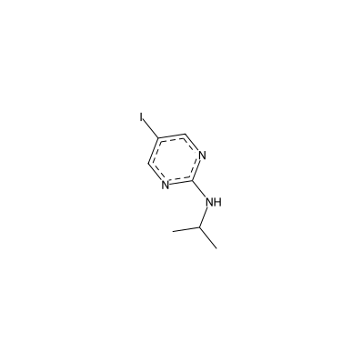 CC(C)Nc1ncc(I)cn1